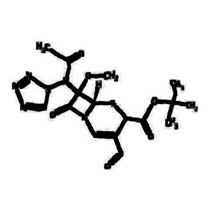 COC1(N(C(C)=O)n2cnnn2)C(=O)N2C=C(C=O)C(C(=O)OC(C)(C)C)S[C@@H]21